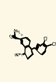 CC(C)C1CCC(c2ccc(Cl)c(Cl)c2)c2ccc(C(N)=O)cc21